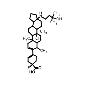 CC1C(C2=CCC(F)(C(=O)O)CC2)=CCC2(C)C1CCC1(C)C2CCC2C3CCCC3(NCCC(C)(C)O)CC[C@]21C